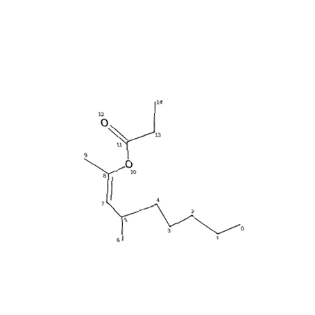 CCCCCC(C)/C=C(/C)OC(=O)CC